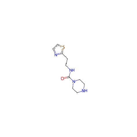 O=C(NCCc1nccs1)N1CCNCC1